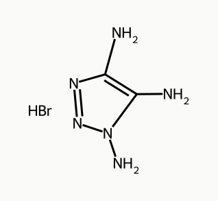 Br.Nc1nnn(N)c1N